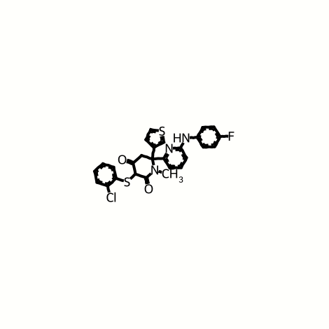 CN1C(=O)C(Sc2ccccc2Cl)C(=O)CC1(c1ccsc1)c1cccc(Nc2ccc(F)cc2)n1